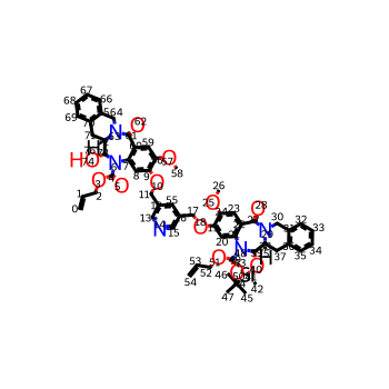 C=CCOC(=O)N1c2cc(OCc3cncc(COc4cc5c(cc4OC)C(=O)N4Cc6ccccc6C[C@H]4C(O[Si](C)(C)C(C)(C)C)N5C(=O)OCC=C)c3)c(OC)cc2C(=O)N2Cc3ccccc3C[C@H]2C1O